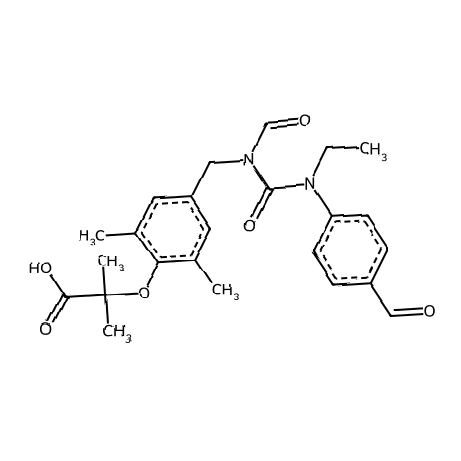 CCN(C(=O)N(C=O)Cc1cc(C)c(OC(C)(C)C(=O)O)c(C)c1)c1ccc(C=O)cc1